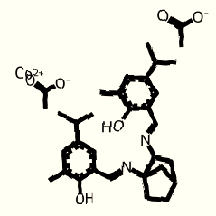 CC(=O)[O-].CC(=O)[O-].Cc1cc(C(C)C)cc(C=NC2CC3CCC2(N=Cc2cc(C(C)C)cc(C)c2O)C3)c1O.[Co+2]